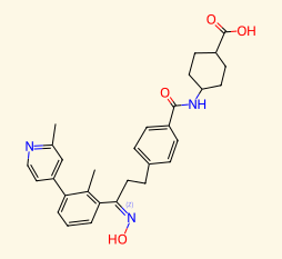 Cc1cc(-c2cccc(/C(CCc3ccc(C(=O)NC4CCC(C(=O)O)CC4)cc3)=N\O)c2C)ccn1